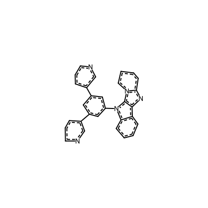 c1cncc(-c2cc(-c3cccnc3)cc(-n3c4ccccc4c4nc5ccccn5c43)c2)c1